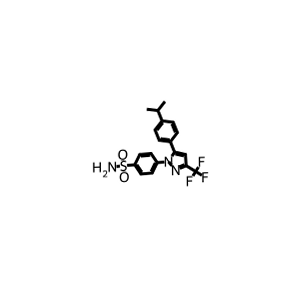 CC(C)c1ccc(-c2cc(C(F)(F)F)nn2-c2ccc(S(N)(=O)=O)cc2)cc1